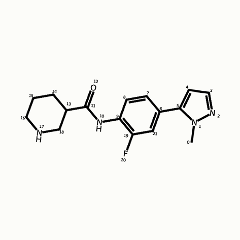 Cn1nccc1-c1ccc(NC(=O)C2CCCNC2)c(F)c1